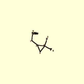 CNCC1CC1(F)F